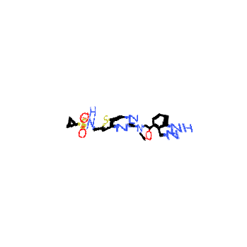 O=S(=O)(NCc1cc2nc(N3CCOC(c4cccc5[nH]ncc45)C3)ncc2s1)C1CC1